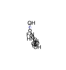 CC(C)(O)/C=C/c1ccc(-c2nc3cc(O[C@@H]4CO[C@H]5[C@@H]4OC[C@H]5O)[nH]c3cc2F)cc1